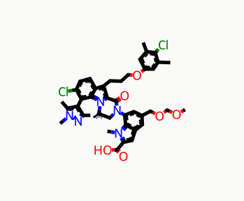 COCOCc1cc(N2C[C@@H](C)n3c(c(CCCOc4cc(C)c(Cl)c(C)c4)c4ccc(Cl)c(-c5c(C)nn(C)c5C)c43)C2=O)c2c(c1)cc(C(=O)O)n2C